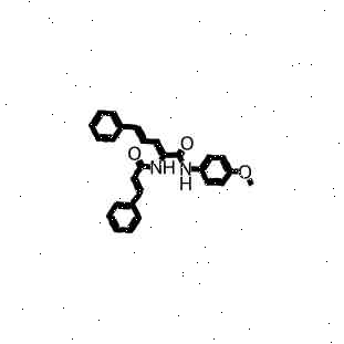 COc1ccc(NC(=O)/C(=C/C=C/c2ccccc2)NC(=O)/C=C/c2ccccc2)cc1